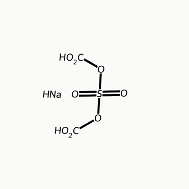 O=C(O)OS(=O)(=O)OC(=O)O.[NaH]